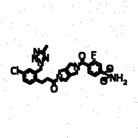 Cc1nnn(Cc2cc(Cl)ccc2CCC(=O)N2CC3=C(C2)CN(C(=O)c2ccc(S(N)(=O)=O)cc2F)C3)n1